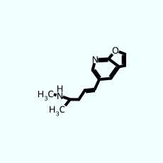 CNC(C)C/C=C/c1cnc2occc2c1